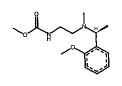 COC(=O)NCCN(C)[C@@H](C)c1ccccc1OC